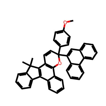 COc1ccc(C2(c3cc4ccccc4c4ccccc34)C=Cc3c4c(c5ccccc5c3O2)-c2ccccc2C4(C)C)cc1